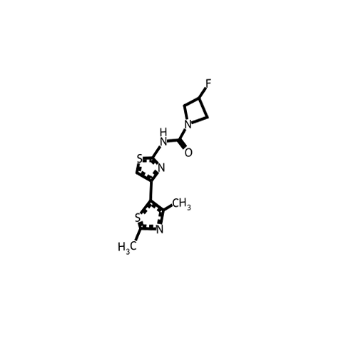 Cc1nc(C)c(-c2csc(NC(=O)N3CC(F)C3)n2)s1